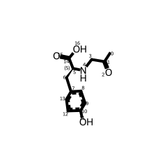 CC(=O)CN[C@@H](Cc1ccc(O)cc1)C(=O)O